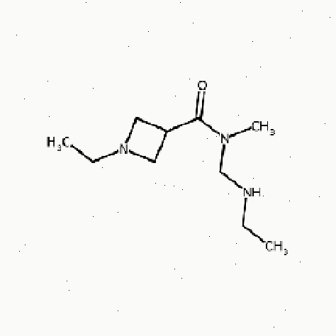 CCNCN(C)C(=O)C1CN(CC)C1